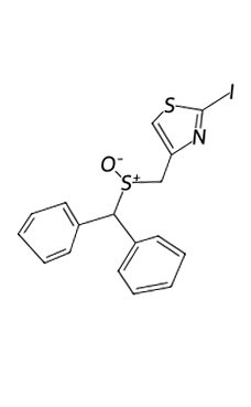 [O-][S+](Cc1csc(I)n1)C(c1ccccc1)c1ccccc1